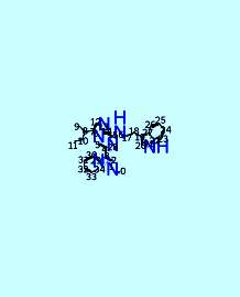 C=N/C=C(/c1cn2c(C(C)CC)cnc2c(NCCC2=CNC3C=CC=CC23)n1)N1C=CC=CC1